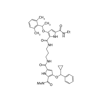 CCNC(=O)c1cc(OC(C)c2c(C)cccc2C)c(C(=O)NCCCNC(=O)c2cc(OC(c3ccccc3)C3CC3)c(C(=O)NC)[nH]2)[nH]1